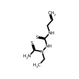 C=CCNC(=S)NN(CC)C(N)=S